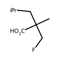 CC(C)CC(C)(CF)C(=O)O